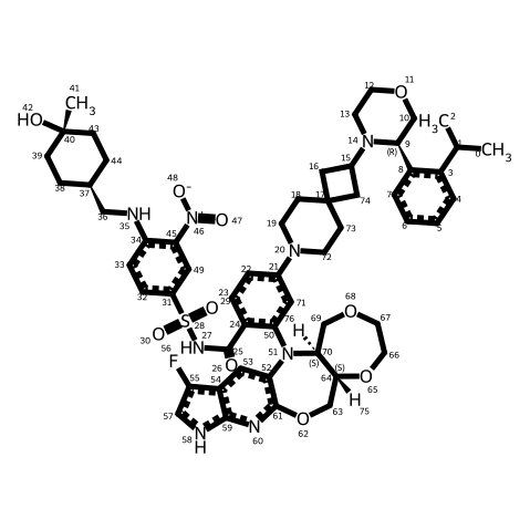 CC(C)c1ccccc1[C@@H]1COCCN1C1CC2(CCN(c3ccc(C(=O)NS(=O)(=O)c4ccc(NC[C@H]5CC[C@](C)(O)CC5)c([N+](=O)[O-])c4)c(N4c5cc6c(F)c[nH]c6nc5OC[C@H]5OCCOC[C@@H]54)c3)CC2)C1